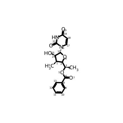 C[C@@H]1C([C@@H](C)OC(=O)c2ccccc2)O[C@@H](n2ccc(=O)[nH]c2=O)[C@@H]1O